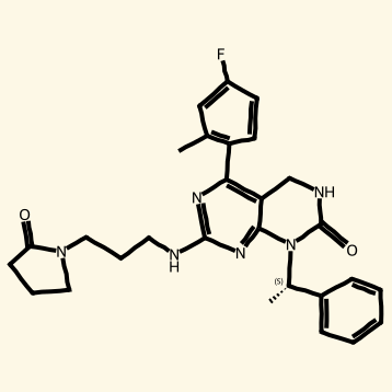 Cc1cc(F)ccc1-c1nc(NCCCN2CCCC2=O)nc2c1CNC(=O)N2[C@@H](C)c1ccccc1